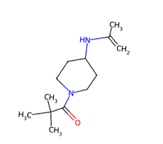 C=C(C)NC1CCN(C(=O)C(C)(C)C)CC1